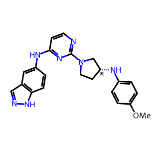 COc1ccc(N[C@@H]2CCN(c3nccc(Nc4ccc5[nH]ncc5c4)n3)C2)cc1